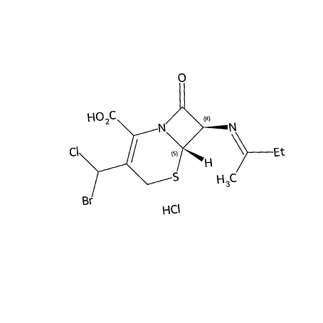 CCC(C)=N[C@@H]1C(=O)N2C(C(=O)O)=C(C(Cl)Br)CS[C@@H]12.Cl